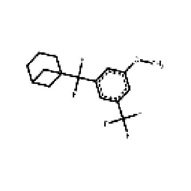 COc1cc(C(F)(F)F)cc(C(F)(F)C23CCCC(C2)C3)c1